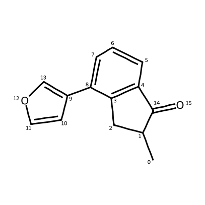 CC1Cc2c(cccc2-c2ccoc2)C1=O